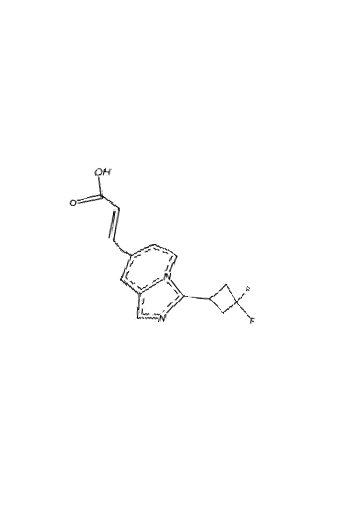 O=C(O)/C=C/c1ccn2c(C3CC(F)(F)C3)ncc2c1